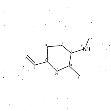 C=CC1CCC(NC)C(C)C1